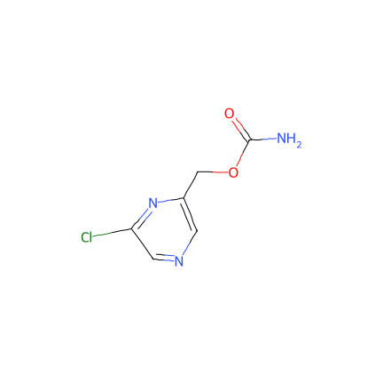 NC(=O)OCc1cncc(Cl)n1